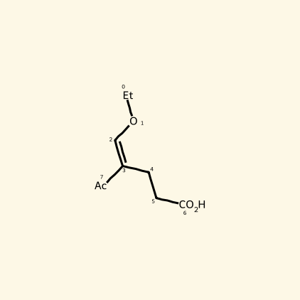 CCOC=C(CCC(=O)O)C(C)=O